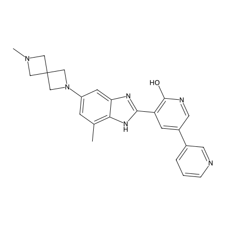 Cc1cc(N2CC3(CN(C)C3)C2)cc2nc(-c3cc(-c4cccnc4)cnc3O)[nH]c12